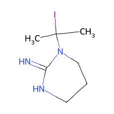 CC(C)(I)N1CCCNC1=N